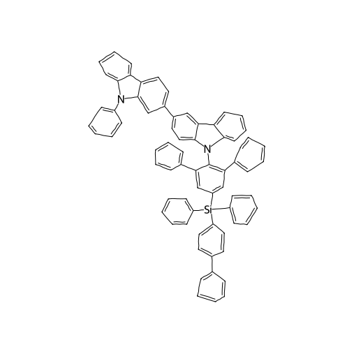 c1ccc(-c2ccc([Si](c3ccccc3)(c3ccccc3)c3cc(-c4ccccc4)c(-n4c5ccccc5c5cc(-c6ccc7c8ccccc8n(-c8ccccc8)c7c6)ccc54)c(-c4ccccc4)c3)cc2)cc1